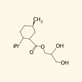 CC(C)C1CC[C@@H](C)CC1C(=O)OCC(O)CO